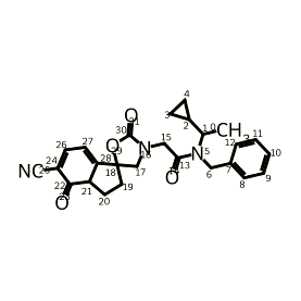 CC(C1CC1)N(Cc1ccccc1)C(=O)CN1CC2(CCC3C(=O)C(C#N)=CC=C32)OC1=O